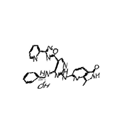 CC1NC(=O)c2ccc(Nc3ncc(-c4nc(-c5ccccn5)no4)c(N[C@H](CO)c4ccccc4)n3)nc21